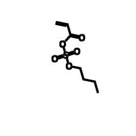 C=CC(=O)OS(=O)(=O)OCCCC